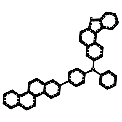 c1ccc(N(c2ccc(-c3ccc4c(ccc5c6ccccc6ccc45)c3)cc2)c2ccc3c(ccc4sc5ccccc5c43)c2)cc1